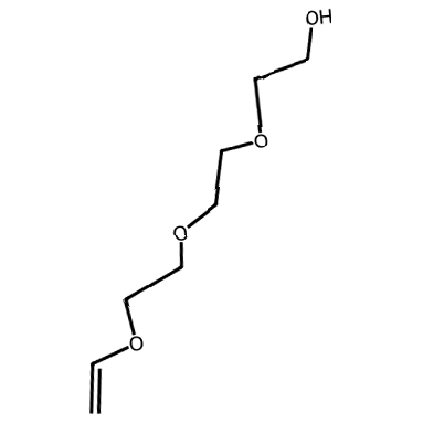 C=COCCOCCOCCO